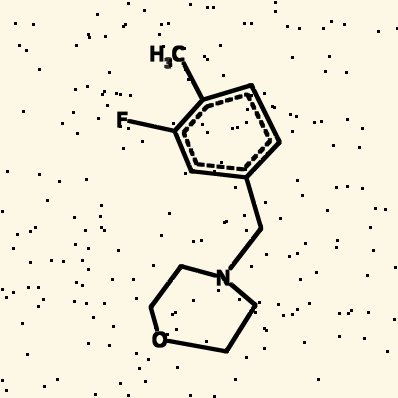 Cc1ccc(CN2CCOCC2)cc1F